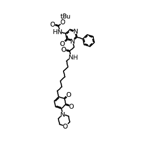 CC(C)(C)OC(=O)Nc1cnc(-c2ccccc2)n(CC(=O)NCCCCCCCC2=CC=C(N3CCOCC3)C(=O)C2=O)c1=O